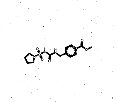 COC(=O)c1ccc(CNC(=O)NS(=O)(=O)N2CCCC2)cc1